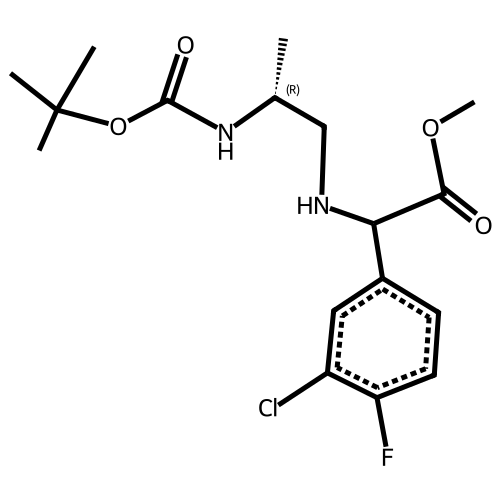 COC(=O)C(NC[C@@H](C)NC(=O)OC(C)(C)C)c1ccc(F)c(Cl)c1